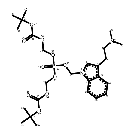 CN(C)CCc1cn(COP(=O)(OCOC(=O)OC(C)(C)C)OCOC(=O)OC(C)(C)C)c2ccccc12